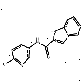 O=C(Nc1ccc(Cl)nc1)c1cc2ccccc2[nH]1